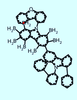 Bc1c(B)c(B)c2c(c1B)c1c(B)c(-c3ccc4c(c3)c3cccc(-c5ccccc5)c3n4-c3ccccc3-c3ccccc3)c(B)c(B)c1n2-c1cccc2oc3ccccc3c12